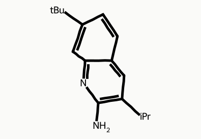 CC(C)c1cc2ccc(C(C)(C)C)cc2nc1N